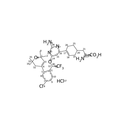 CC1(C)C=C(c2cc(Cl)ccc2[C@@H](Oc2cc(C3=CCC(C[C@H](N)C(=O)O)CC3)nc(N)n2)C(F)(F)F)CC(C)(C)O1.Cl